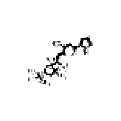 CC(=C/C(=O)c1ccc[nH]1)/C=C/C(O)[C@]1(C)O[C@@H](C(C)(C)O)CC1(C)C